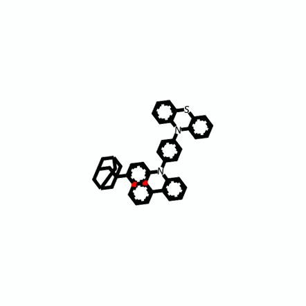 c1ccc(-c2ccccc2N(c2ccc(N3c4ccccc4Sc4ccccc43)cc2)c2ccc(C34CC5CC(CC(C5)C3)C4)cc2)cc1